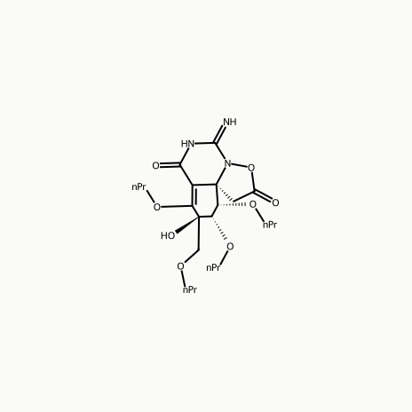 CCCOC[C@]1(O)C(OCCC)=C2C(=O)NC(=N)N3OC(=O)C[C@]23[C@H](OCCC)[C@@H]1OCCC